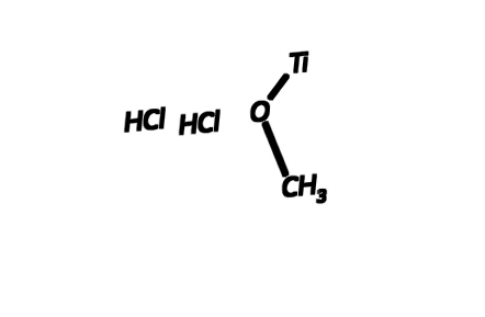 C[O][Ti].Cl.Cl